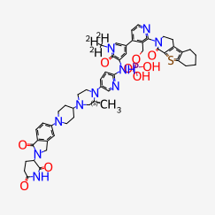 [2H]C([2H])([2H])n1cc(-c2ccnc(N3CCc4c(sc5c4CCCC5)C3=O)c2COP(=O)(O)O)cc(Nc2ccc(N3CCN(C4CCN(c5ccc6c(c5)CN(C5CCC(=O)NC5=O)C6=O)CC4)C[C@@H]3C)cn2)c1=O